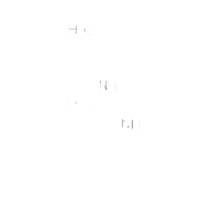 C=CCNC(=O)c1cc2ccccc2[nH]1